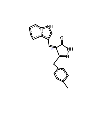 Cc1ccc(CC2=NNC(=O)/C2=C\c2c[nH]c3ccccc23)cc1